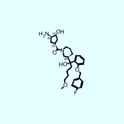 COCCCC[C@@](O)(c1ccccc1OCc1ccc(F)cc1)[C@@H]1CCCN(C(=O)[C@H]2C[C@@H](N)[C@@H](O)C2)C1